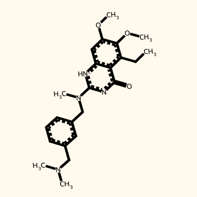 CCc1c(OC)c(OC)cc2[nH]c(N(C)Cc3cccc(CN(C)C)c3)nc(=O)c12